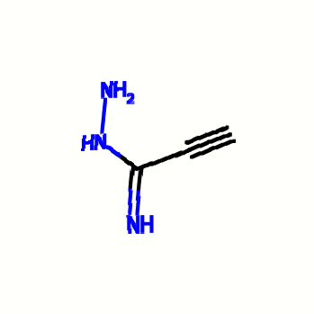 C#CC(=N)NN